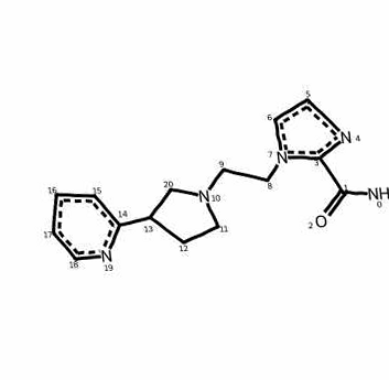 NC(=O)c1n[c]cn1CCN1CCC(c2ccccn2)C1